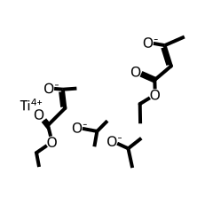 CC(C)[O-].CC(C)[O-].CCOC(=O)C=C(C)[O-].CCOC(=O)C=C(C)[O-].[Ti+4]